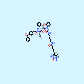 C[C@H](NC(=O)Cc1ccc(C(=O)c2ccccc2)cc1)C(=O)N[C@H]1C(=O)N(CC(=O)NCCCCCNC(=O)CCCC[C@@H]2SC[C@@H]3NC(=O)N[C@@H]32)c2ccccc2O[C@H]1c1ccccc1